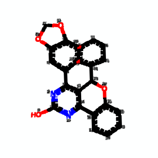 Oc1nc(-c2ccc3c(c2)OCO3)c2c(n1)-c1ccccc1OC2c1ccccc1